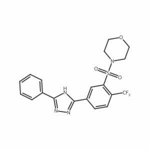 O=S(=O)(c1cc(-c2nnc(-c3ccccc3)[nH]2)ccc1C(F)(F)F)N1CCOCC1